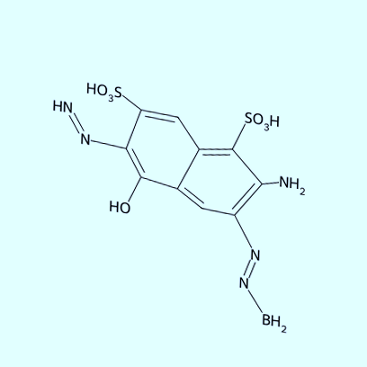 BN=Nc1cc2c(O)c(N=N)c(S(=O)(=O)O)cc2c(S(=O)(=O)O)c1N